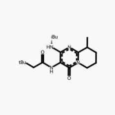 CC[C@@H](C)Nc1nc2n(c(=O)c1NC(=O)CC(C)(C)C)CCCC2C